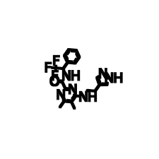 Cc1nc(C(=O)NC(c2ccccc2)C(F)(F)F)nc(NCCc2cn[nH]c2)c1C